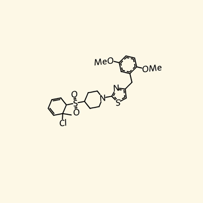 COc1ccc(OC)c(Cc2csc(N3CCC(S(=O)(=O)C4C=CC=CC4(C)Cl)CC3)n2)c1